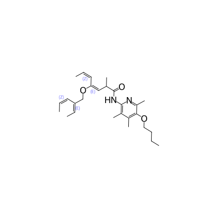 C/C=C\C(=C/C)COC(/C=C\C)=C/C(C)C(=O)Nc1nc(C)c(OCCCC)c(C)c1C